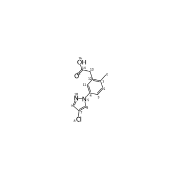 Cc1ccc(-n2cc(Cl)cn2)cc1CC(=O)O